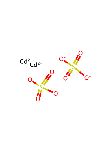 O=S(=O)([O-])[O-].O=S(=O)([O-])[O-].[Cd+2].[Cd+2]